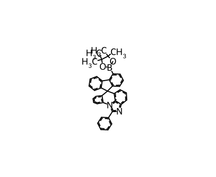 CC1(C)OB(c2cccc3c2-c2ccccc2C32c3ccccc3-n3c(-c4ccccc4)nc4cccc2c43)OC1(C)C